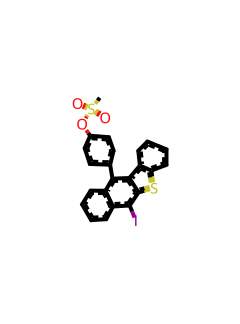 CS(=O)(=O)Oc1ccc(-c2c3ccccc3c(I)c3sc4ccccc4c23)cc1